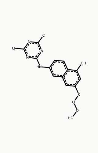 OOOSc1cc(O)c2ccc(Nc3nc(Cl)nc(Cl)n3)cc2c1